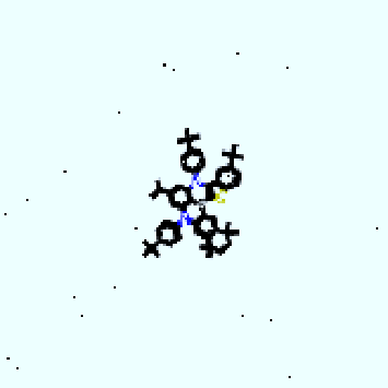 CC(C)c1cc2c3c(c1)N(c1ccc(C(C)(C)C)cc1)c1c(sc4ccc(C(C)(C)C)cc14)B3c1cc3c(cc1N2c1ccc(C(C)(C)C)cc1)C(C)(C)CCC3(C)C